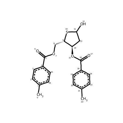 Cc1ccc(C(=O)OC[C@@H]2SC(O)C[C@H]2OC(=O)c2ccc(C)cc2)cc1